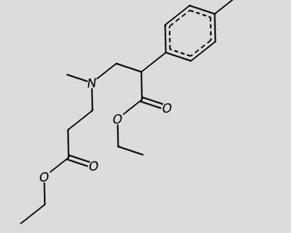 CCOC(=O)CCN(C)CC(C(=O)OCC)c1ccc(F)cc1